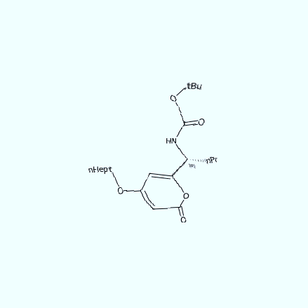 CCCCCCCOc1cc([C@@H](CCC)NC(=O)OC(C)(C)C)oc(=O)c1